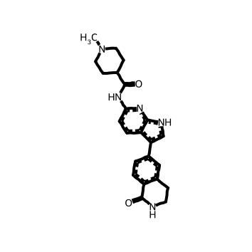 CN1CCC(C(=O)Nc2ccc3c(-c4ccc5c(c4)CCNC5=O)c[nH]c3n2)CC1